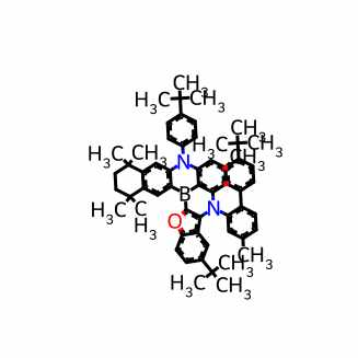 Cc1ccc(-c2ccc(C(C)(C)C)cc2)c(N2c3cc(C)cc4c3B(c3cc5c(cc3N4c3ccc(C(C)(C)C)cc3)C(C)(C)CCC5(C)C)c3oc4ccc(C(C)(C)C)cc4c32)c1